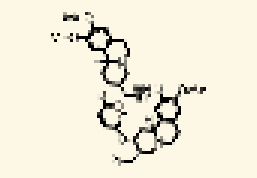 COc1cc2c(cc1OC)[C@H]1C[C@@H](OC(=O)/C=C\C(=O)O[C@@H]3C[C@@H]4c5cc(OC)c(OC)cc5CCN4C[C@H]3CC(C)C)[C@H](CC(C)C)CN1CC2